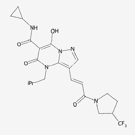 CC(C)Cn1c(=O)c(C(=O)NC2CC2)c(O)n2ncc(C=CC(=O)N3CCC(C(F)(F)F)C3)c12